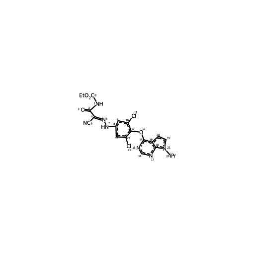 CCOC(=O)NC(=O)/C(C#N)=N/Nc1cc(Cl)c(Oc2ncnc3c2ccn3C(C)C)c(Cl)c1